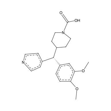 COc1ccc([C@H](c2ccncc2)C2CCN(C(=O)O)CC2)cc1OC